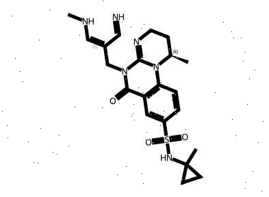 CN/C=C(\C=N)CN1C(=O)c2cc(S(=O)(=O)NC3(C)CC3)ccc2N2C1=NCC[C@H]2C